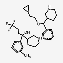 Cc1cccc(C(O)(CCC(F)(F)F)C2CCCNC2)c1.c1ccc(C(OCCC2CC2)C2CCCNC2)cc1